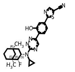 C[C@@]12CCC[C@@](C)(C1)[C@@H](F)[C@@H](N(c1ncc(-c3ccc(-c4ncc(C#N)s4)cc3O)nn1)C1CC1)C2